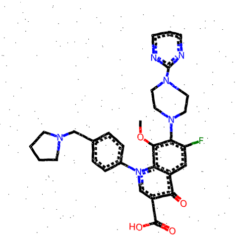 COc1c(N2CCN(c3ncccn3)CC2)c(F)cc2c(=O)c(C(=O)O)cn(-c3ccc(CN4CCCC4)cc3)c12